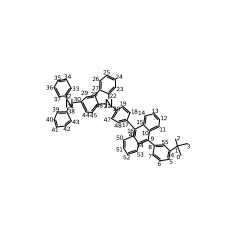 CC(C)(C)c1cccc(-c2c3ccccc3c(-c3ccc(-n4c5ccccc5c5cc(N(c6ccccc6)c6ccccc6)ccc54)cc3)c3ccccc23)c1